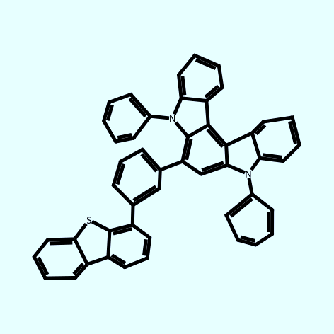 c1ccc(-n2c3ccccc3c3c4c5ccccc5n(-c5ccccc5)c4c(-c4cccc(-c5cccc6c5sc5ccccc56)c4)cc32)cc1